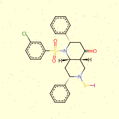 O=C1C[C@@H](c2ccccc2)N(S(=O)(=O)c2cccc(Cl)c2)[C@H]2C[C@@H](c3ccccc3)N(SI)C[C@@H]12